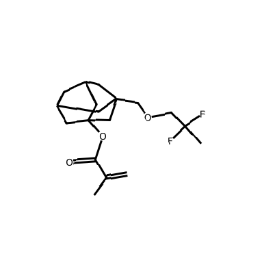 C=C(C)C(=O)OC12CC3CC(CC(COCC(C)(F)F)(C3)C1)C2